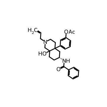 C=CCN1CCC2(c3cccc(OC(C)=O)c3)C[C@H](NC(=O)c3ccccc3)CCC2(O)C1